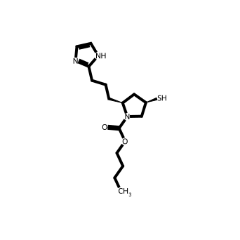 CCCCOC(=O)N1C[C@H](S)C[C@@H]1CCCc1ncc[nH]1